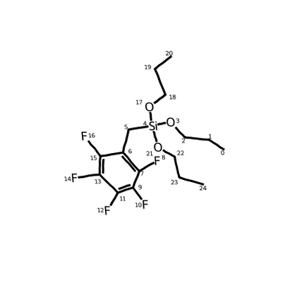 CCCO[Si](Cc1c(F)c(F)c(F)c(F)c1F)(OCCC)OCCC